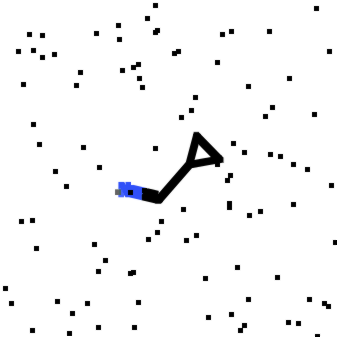 [N]=CC1CC1